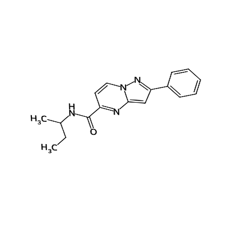 CCC(C)NC(=O)c1ccn2nc(-c3ccccc3)cc2n1